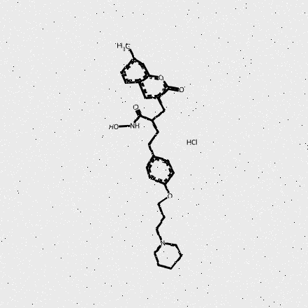 Cc1ccc2cc(CC(CCc3ccc(OCCCN4CCCCC4)cc3)C(=O)NO)c(=O)oc2c1.Cl